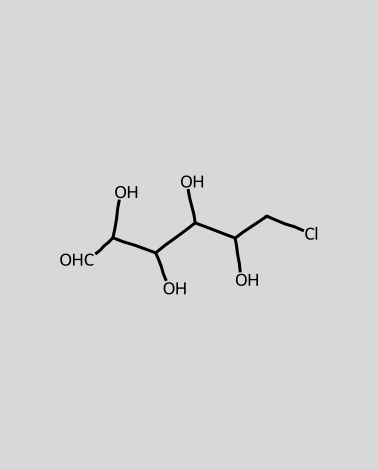 O=CC(O)C(O)C(O)C(O)CCl